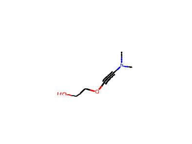 CN(C)C#COCCO